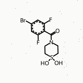 O=C(c1c(F)cc(Br)cc1F)N1CCS(O)(O)CC1